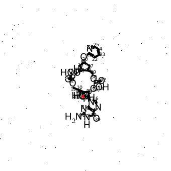 Nc1nc2c(ncn2[C@@H]2O[C@@H]3COP(=O)(O)O[C@H]4C[C@H](Oc5ccccn5)CC4COP(=O)(O)O[C@@H]2[C@@H]3O)c(=O)[nH]1